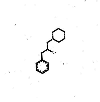 OC(Cc1[c]cccn1)CN1CCCCC1